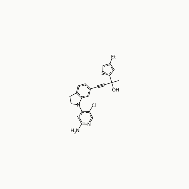 CCc1csc(C(C)(O)C#Cc2ccc3c(c2)N(c2nc(N)ncc2Cl)CC3)c1